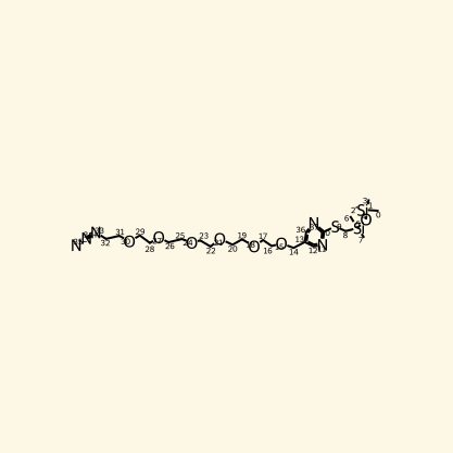 C[Si](C)(C)O[Si](C)(C)CSc1ncc(COCCOCCOCCOCCOCCOCCN=[N+]=[N-])cn1